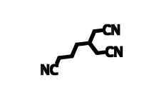 N#CCCCC(CC#N)CC#N